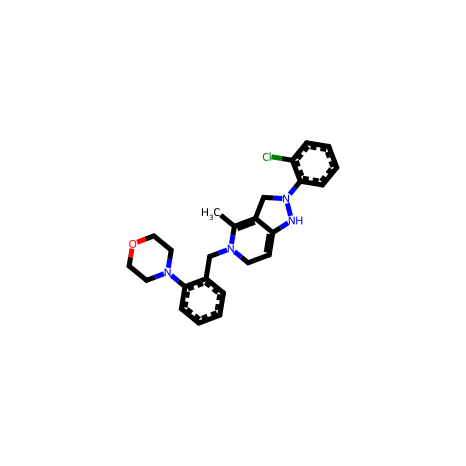 CC1=C2CN(c3ccccc3Cl)NC2=CCN1Cc1ccccc1N1CCOCC1